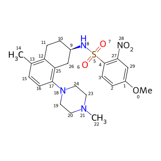 COc1ccc(S(=O)(=O)N[C@@H]2CCc3c(C)ccc(N4CCN(C)CC4)c3C2)c([N+](=O)[O-])c1